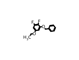 CCOc1cc(F)c(F)c(OCc2ccccc2)c1